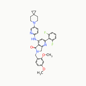 COc1ccc(CN2Cc3nc(-c4c(F)cccc4F)cc(Nc4ccc(N5CCC6(CC5)CC6)cn4)c3C2=O)c(OC)c1